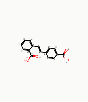 O=C(O)c1ccc(/C=C/c2ccccc2C(=O)O)cc1